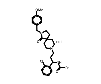 COc1ccc(CN2CCC3(CCN(CCC(NC(=O)C(C)C)c4ccccc4Cl)CC3)C2=O)cc1.Cl